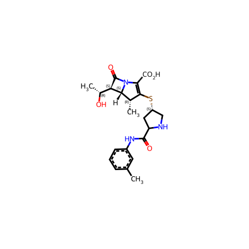 Cc1cccc(NC(=O)C2C[C@H](SC3=C(C(=O)O)N4C(=O)[C@H]([C@@H](C)O)[C@H]4[C@H]3C)CN2)c1